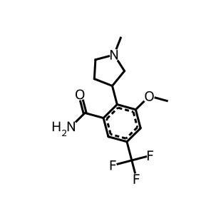 COc1cc(C(F)(F)F)cc(C(N)=O)c1C1CCN(C)C1